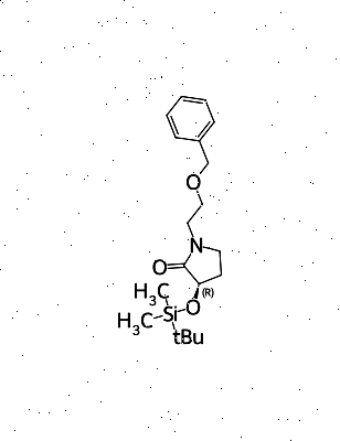 CC(C)(C)[Si](C)(C)O[C@@H]1CCN(CCOCc2ccccc2)C1=O